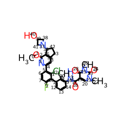 COc1nc(-c2ccc(F)c(-c3cccc(NC(=O)c4cn(C)c(=O)n(C)c4=O)c3C)c2Cl)cc2c1C(N1CC(O)C1)CC2